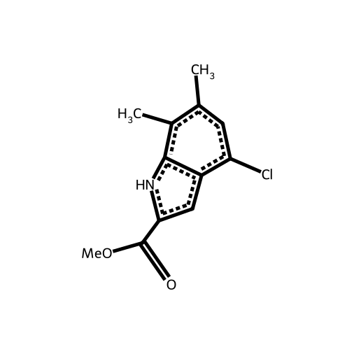 COC(=O)c1cc2c(Cl)cc(C)c(C)c2[nH]1